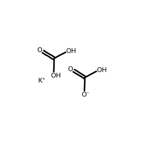 O=C(O)O.O=C([O-])O.[K+]